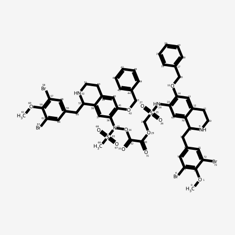 COc1c(Br)cc(CC2NCCc3cc(OCc4ccccc4)c(NS(=O)(=O)COC(=O)C(=O)ON(c4cc5c(cc4OCc4ccccc4)CCNC5Cc4cc(Br)c(OC)c(Br)c4)S(C)(=O)=O)cc32)cc1Br